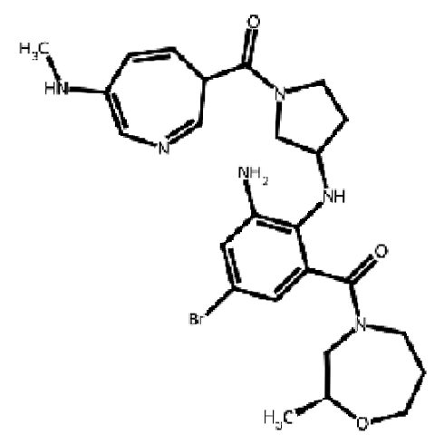 CNC1=CN=CC(C(=O)N2CCC(Nc3c(N)cc(Br)cc3C(=O)N3CCCO[C@@H](C)C3)C2)C=C1